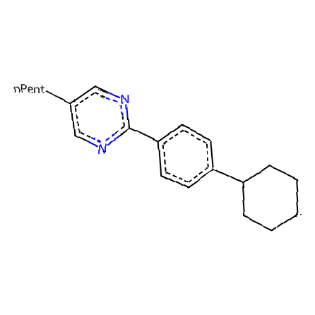 CCCCCc1cnc(-c2ccc(C3CC[CH]CC3)cc2)nc1